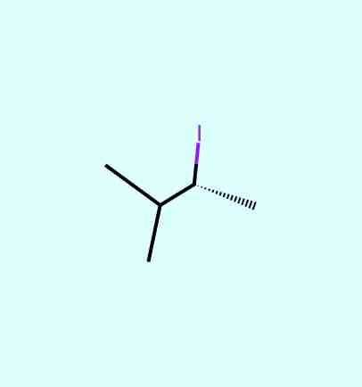 CC(C)[C@@H](C)I